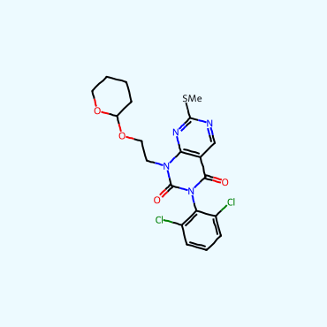 CSc1ncc2c(=O)n(-c3c(Cl)cccc3Cl)c(=O)n(CCOC3CCCCO3)c2n1